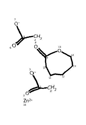 CC(=O)[O-].CC(=O)[O-].O=C1CCCCCO1.[Zn+2]